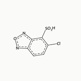 O=S(=O)(O)c1c(Cl)ccc2nonc12